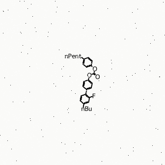 CCCCCc1ccc(OC(=O)Oc2ccc(-c3ccc(CCCC)cc3F)cc2)cc1